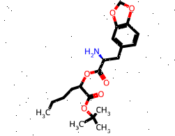 CCCCC(OC(=O)[C@@H](N)Cc1ccc2c(c1)OCO2)C(=O)OC(C)(C)C